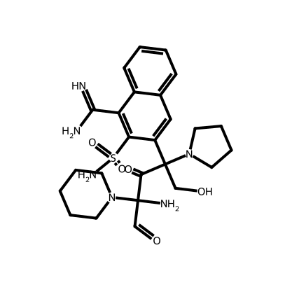 N=C(N)c1c(S(N)(=O)=O)c(C(CO)(C(=O)C(N)(C=O)N2CCCCC2)N2CCCC2)cc2ccccc12